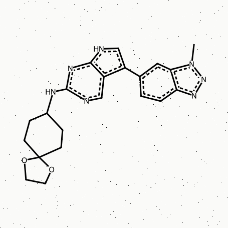 Cn1nnc2ccc(-c3c[nH]c4nc(NC5CCC6(CC5)OCCO6)ncc34)cc21